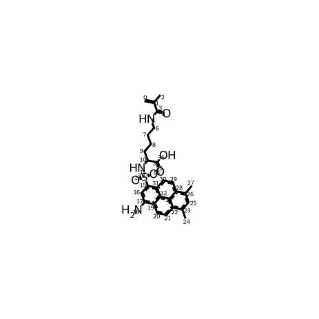 C=C(C)C(=O)NCCCCC(NS(=O)(=O)c1cc(N)c2ccc3c(C)cc(C)c4ccc1c2c34)C(=O)O